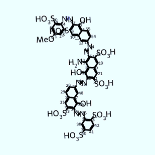 COc1ccc(/N=N\c2c(S(=O)(=O)O)cc3cc(N=Nc4c(S(=O)(=O)O)cc5cc(S(=O)(=O)O)c(N=Nc6ccc7cc(S(=O)(=O)O)c(N=Nc8cc(S(=O)(=O)O)ccc8S(=O)(=O)O)c(O)c7c6)c(O)c5c4N)ccc3c2O)c(S(=O)(=O)O)c1